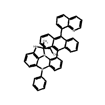 CCC1(C)Nc2cccc3c2N1c1c(-c2c4ccccc4c(-c4cccc5cccnc45)c4ccccc24)cccc1N3c1ccccc1